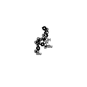 CC(C)(C)C(=O)Oc1ccc(COP(=O)(OCc2ccc(OC(=O)C(C)(C)C)cc2)OP(=O)(O)OC[C@H]2O[C@@H](n3ccc(=O)n(Cc4noc5ccccc45)c3=O)[C@@H](O)C2O)cc1